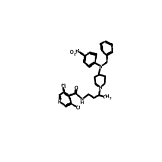 CC(CCNC(=O)c1c(Cl)cncc1Cl)N1CCC(N(Cc2ccccc2)c2ccc([N+](=O)[O-])cc2)CC1